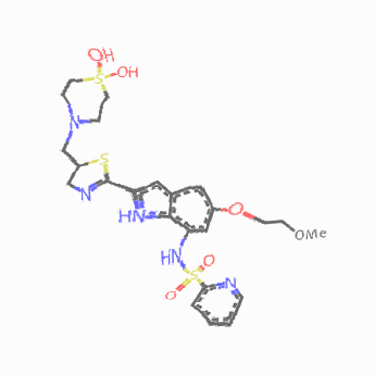 COCCOc1cc(NS(=O)(=O)c2ccccn2)c2[nH]c(C3=NCC(CN4CCS(O)(O)CC4)S3)cc2c1